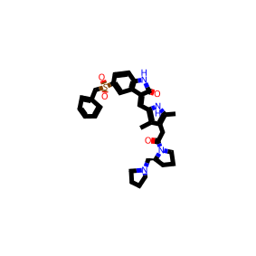 Cc1[nH]c(/C=C2\C(=O)Nc3ccc(S(=O)(=O)Cc4ccccc4)cc32)c(C)c1CC(=O)N1CCC[C@H]1CN1CCCC1